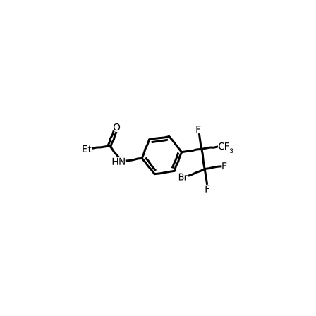 CCC(=O)Nc1ccc(C(F)(C(F)(F)F)C(F)(F)Br)cc1